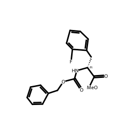 COC(=O)[C@@H](Cc1ccccc1F)NC(=O)OCc1ccccc1